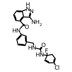 Nc1n[nH]c2cccc(C(=O)Nc3cccc(CNC(=O)NC4(F)C=CC(Cl)=CC4)c3)c12